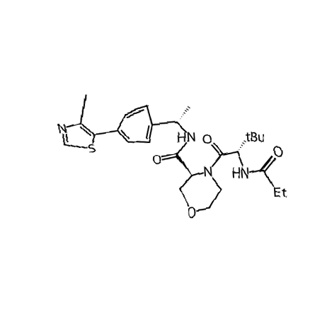 CCC(=O)N[C@H](C(=O)N1CCOC[C@H]1C(=O)N[C@@H](C)c1ccc(-c2scnc2C)cc1)C(C)(C)C